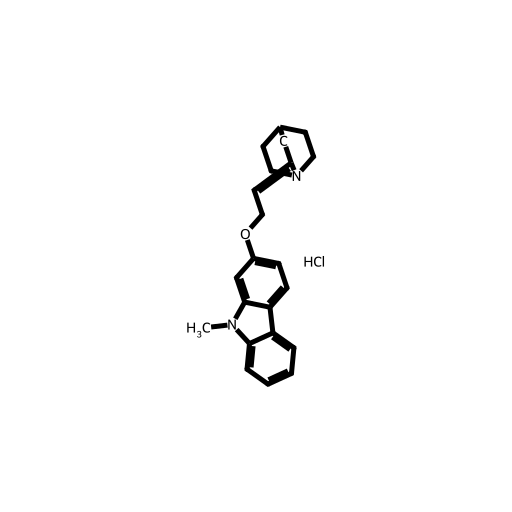 Cl.Cn1c2ccccc2c2ccc(OCC=C3CC4CCN3CC4)cc21